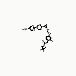 COc1cnc(N2CCC([C@H]3C[C@H]3CCOc3ccc(CC(=O)N4CC(F)(F)C4)c(F)c3)CC2)nc1